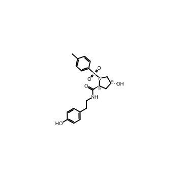 Cc1ccc(S(=O)(=O)N2C[C@H](O)C[C@H]2C(=O)NCCc2ccc(O)cc2)cc1